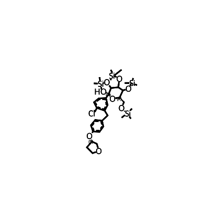 C[Si](C)(C)OC[C@H]1O[C@@](O)(c2ccc(Cl)c(Cc3ccc(O[C@H]4CCOC4)cc3)c2)C(O[Si](C)(C)C)C(O[Si](C)(C)C)C1O[Si](C)(C)C